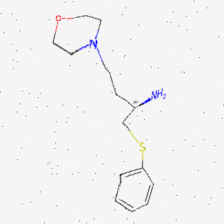 N[C@H](CCN1CCOCC1)CSc1ccccc1